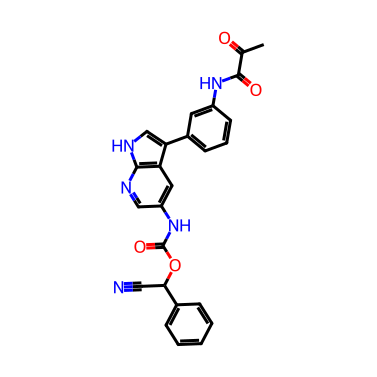 CC(=O)C(=O)Nc1cccc(-c2c[nH]c3ncc(NC(=O)OC(C#N)c4ccccc4)cc23)c1